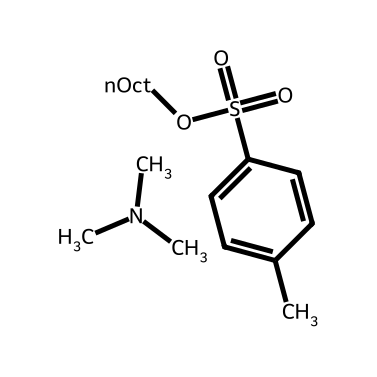 CCCCCCCCOS(=O)(=O)c1ccc(C)cc1.CN(C)C